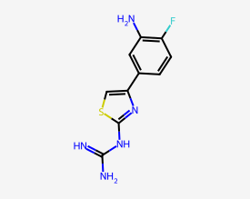 N=C(N)Nc1nc(-c2ccc(F)c(N)c2)cs1